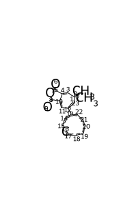 CC1(C)C=C2C(=O)OC(=O)C2=CC(c2ccccccccc2)=C1